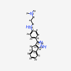 CN(C)CCCNc1ccc(-c2n[nH]c3c2Cc2ccccc2-3)cc1